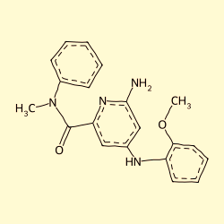 COc1ccccc1Nc1cc(N)nc(C(=O)N(C)c2ccccc2)c1